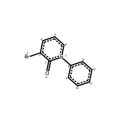 O=c1c(Br)cccn1-c1ccccc1